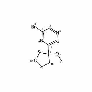 COC1(c2cncc(Br)n2)CCOC1